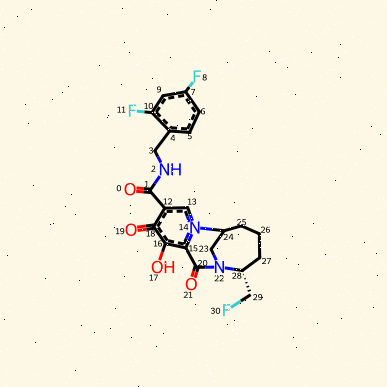 O=C(NCc1ccc(F)cc1F)c1cn2c(c(O)c1=O)C(=O)N1CC2CCC[C@@H]1CF